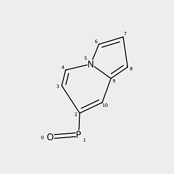 O=Pc1ccn2cccc2c1